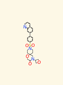 O=C1COC2(CCN(S(=O)(=O)c3ccc(-c4ccc5cccnc5c4)cc3)CC2)CN1C1COC1